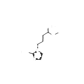 Cc1n[c]cn1CCCC(C=O)OC(C)C